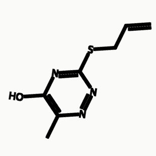 C=CCSc1nnc(C)c(O)n1